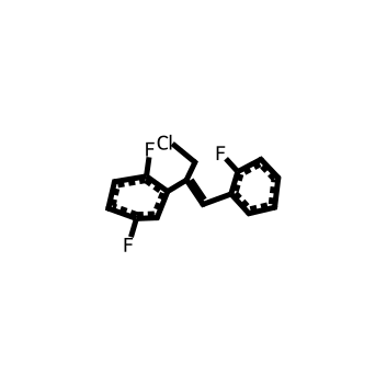 Fc1ccc(F)c(C(=Cc2ccccc2F)CCl)c1